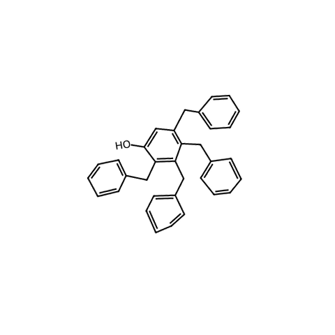 Oc1cc(Cc2ccccc2)c(Cc2ccccc2)c(Cc2ccccc2)c1Cc1ccccc1